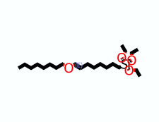 CCCCCCCCO/C=C/CCCCCC[Si](OCC)(OCC)OCC